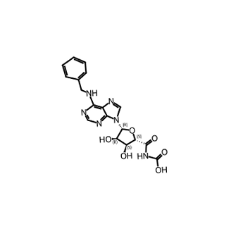 O=C(O)NC(=O)[C@H]1O[C@@H](n2cnc3c(NCc4ccccc4)ncnc32)[C@H](O)[C@@H]1O